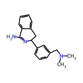 CN(C)Cc1cccc(C2Cc3ccccc3C(N)=N2)c1